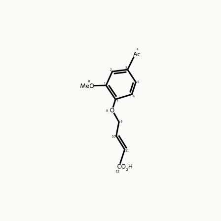 COc1cc(C(C)=O)ccc1OCC=CC(=O)O